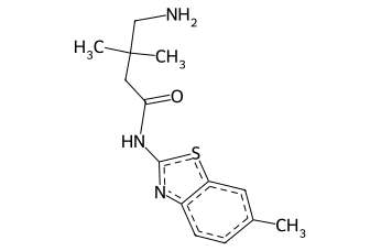 Cc1ccc2nc(NC(=O)CC(C)(C)CN)sc2c1